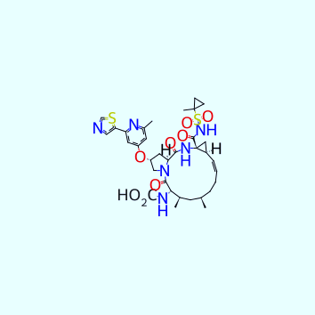 Cc1cc(O[C@@H]2C[C@H]3C(=O)N[C@]4(C(=O)NS(=O)(=O)C5(C)CC5)C[C@H]4C=CCC[C@@H](C)C[C@@H](C)[C@H](NC(=O)O)C(=O)N3C2)cc(-c2cncs2)n1